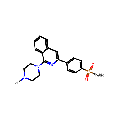 CCN1CCN(c2nc(-c3ccc(S(=O)(=O)NC)cc3)cc3ccccc23)CC1